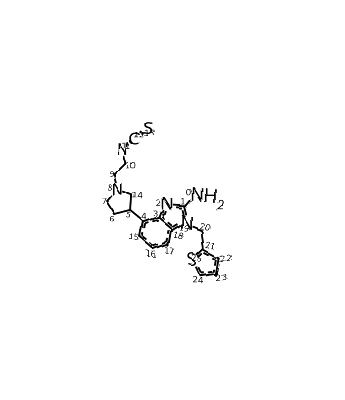 Nc1nc2c(C3CCN(CCN=C=S)C3)cccc2n1Cc1cccs1